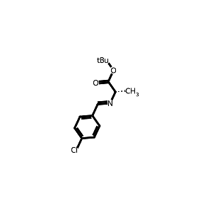 C[C@H](N=Cc1ccc(Cl)cc1)C(=O)OC(C)(C)C